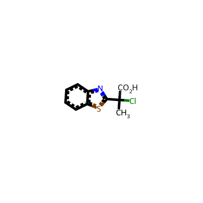 CC(Cl)(C(=O)O)c1nc2ccccc2s1